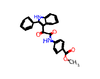 COC(=O)c1ccc(NC(=O)C(=O)c2c(-c3ccccc3)[nH]c3ccccc23)cc1